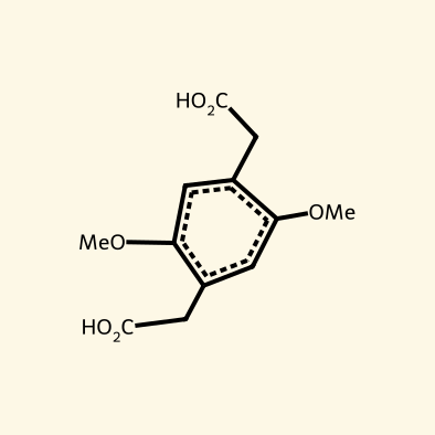 COc1cc(CC(=O)O)c(OC)cc1CC(=O)O